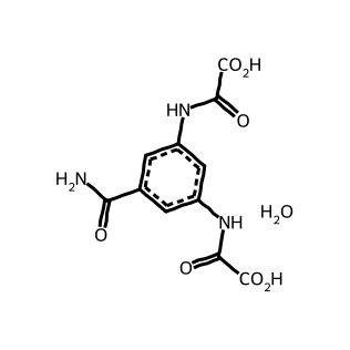 NC(=O)c1cc(NC(=O)C(=O)O)cc(NC(=O)C(=O)O)c1.O